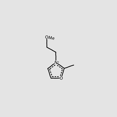 COCC[n+]1ccoc1C